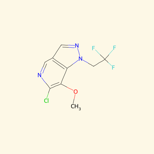 COc1c(Cl)ncc2cnn(CC(F)(F)F)c12